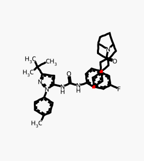 Cc1ccc(-n2nc(C(C)(C)C)cc2NC(=O)Nc2ccc(CC3CC4CCC(C3)N4C(=O)Cc3cccc(F)c3)cc2)cc1